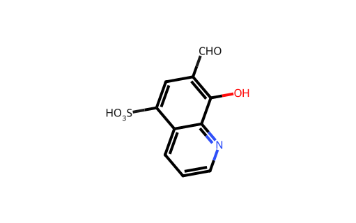 O=Cc1cc(S(=O)(=O)O)c2cccnc2c1O